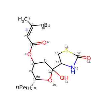 CCCCC[C@@H]1CC(OC(=O)/C=C(/C)CCCC)CC(O)(C2CSC(=O)N2)O1